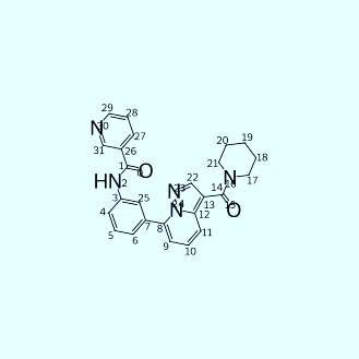 O=C(Nc1cccc(-c2cccc3c(C(=O)N4CCCCC4)cnn23)c1)c1cccnc1